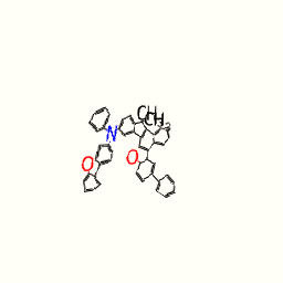 CC1(C)c2ccc(N(c3ccccc3)c3ccc4c(c3)oc3ccccc34)cc2-c2c3c(c4ccccc4c21)C1C=C(c2ccccc2)C=CC1O3